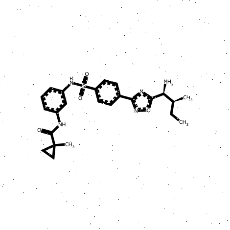 CC[C@H](C)[C@H](N)c1nc(-c2ccc(S(=O)(=O)Nc3cccc(NC(=O)C4(C)CC4)c3)cc2)no1